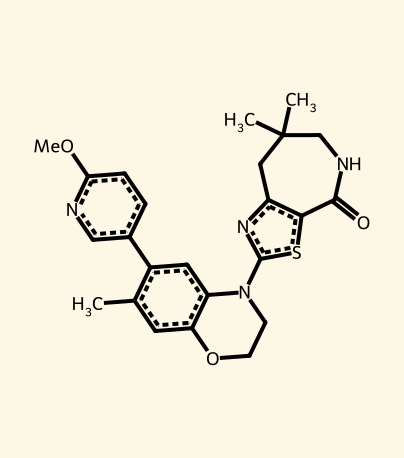 COc1ccc(-c2cc3c(cc2C)OCCN3c2nc3c(s2)C(=O)NCC(C)(C)C3)cn1